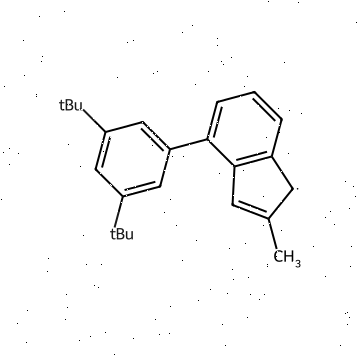 CC1=Cc2c(cccc2-c2cc(C(C)(C)C)cc(C(C)(C)C)c2)[CH]1